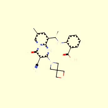 Cc1cc([C@@H](C)Nc2ccccc2C(=O)O)c2nc(N3CC4(COC4)C3)c(C#N)c(=O)n2c1